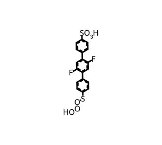 O=S(=O)(O)c1ccc(-c2cc(F)c(-c3ccc(SOOO)cc3)cc2F)cc1